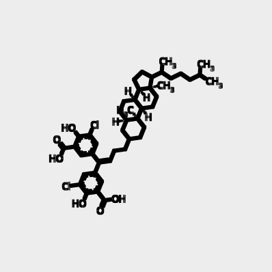 CC(C)CCCC(C)C1CC[C@@H]2[C@@H]3CC[C@@H]4CC(CCC=C(c5cc(Cl)c(O)c(C(=O)O)c5)c5cc(Cl)c(O)c(C(=O)O)c5)CC[C@]4(C)[C@@H]3CC[C@]12C